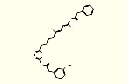 COC1=CCCC(CC(=O)Nc2nnc(CCCC/C(N)=C/C=C(\N)NC(=O)Cc3ccccc3)s2)=C1